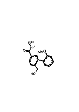 COc1ccccc1-c1cc(C(=O)NC(C)(C)C)ccc1CO